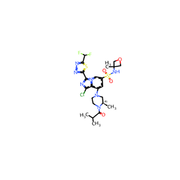 CC(C)C(=O)N1CCN(c2cc(S(=O)(=O)NC3(C)COC3)cn3c(-c4nnc(C(F)F)s4)nc(Cl)c23)C[C@H]1C